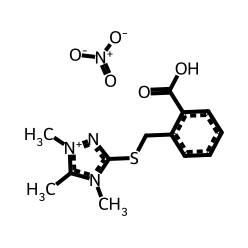 Cc1n(C)c(SCc2ccccc2C(=O)O)n[n+]1C.O=[N+]([O-])[O-]